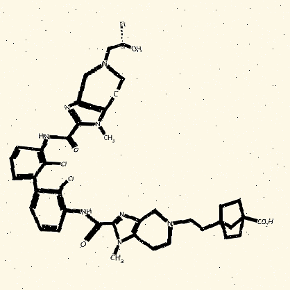 CC[C@H](O)CN1CCc2c(nc(C(=O)Nc3cccc(-c4cccc(NC(=O)c5nc6c(n5C)CCN(CCC57CCC(C(=O)O)(CC5)C7)C6)c4Cl)c3Cl)n2C)C1